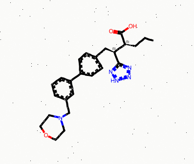 CCC[C@H](C(=O)O)[C@H](Cc1ccc(-c2cccc(CN3CCOCC3)c2)cc1)c1nn[nH]n1